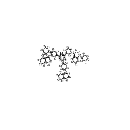 c1ccc(-c2ccc(-c3cccc(-c4nc(-c5ccc(-c6ccccc6-c6cccc7ccccc67)cc5)nc(-c5ccc(-c6cccc7ccccc67)cc5)n4)c3)c3ccccc23)cc1